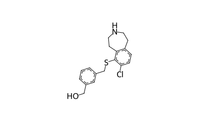 OCc1cccc(CSc2c(Cl)ccc3c2CCNCC3)c1